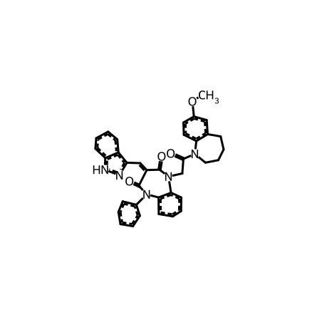 COc1ccc2c(c1)CCCCN2C(=O)CN1C(=O)/C(=C/c2n[nH]c3ccccc23)C(=O)N(c2ccccc2)c2ccccc21